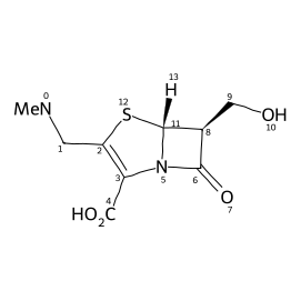 CNCC1=C(C(=O)O)N2C(=O)[C@H](CO)[C@H]2S1